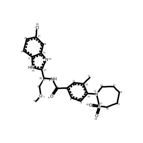 COC[C@H](NC(=O)c1ccc(N2CCCCCS2(=O)=O)c(C)c1)c1nc2cc(Cl)ccc2[nH]1